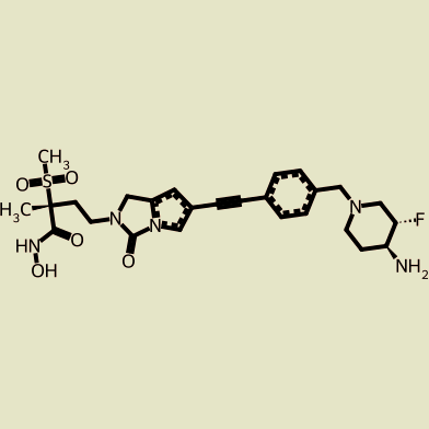 C[C@@](CCN1Cc2cc(C#Cc3ccc(CN4CC[C@H](N)[C@@H](F)C4)cc3)cn2C1=O)(C(=O)NO)S(C)(=O)=O